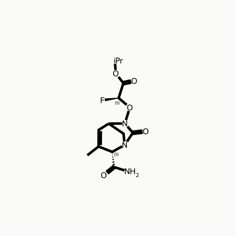 CC1=CC2CN(C(=O)N2O[C@@H](F)C(=O)OC(C)C)[C@@H]1C(N)=O